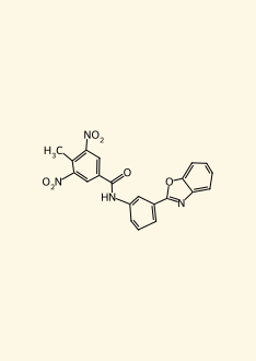 Cc1c([N+](=O)[O-])cc(C(=O)Nc2cccc(-c3nc4ccccc4o3)c2)cc1[N+](=O)[O-]